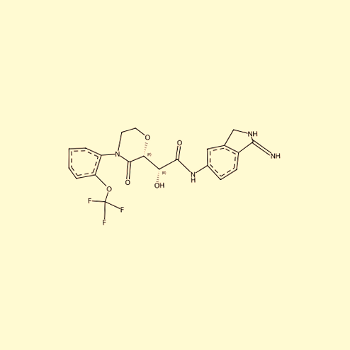 N=C1NCc2cc(NC(=O)[C@H](O)[C@H]3OCCN(c4ccccc4OC(F)(F)F)C3=O)ccc21